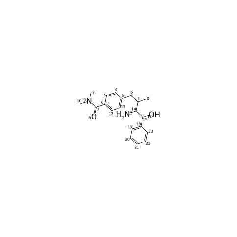 CC(Cc1ccc(C(=O)N(C)C)cc1)C(N)C(O)c1ccccc1